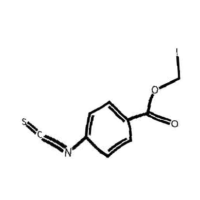 O=C(OCI)c1ccc(N=C=S)cc1